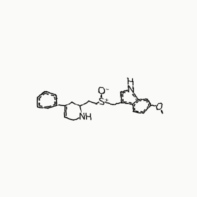 COc1ccc2c(C[S+]([O-])CCC3CC(c4ccccc4)=CCN3)c[nH]c2c1